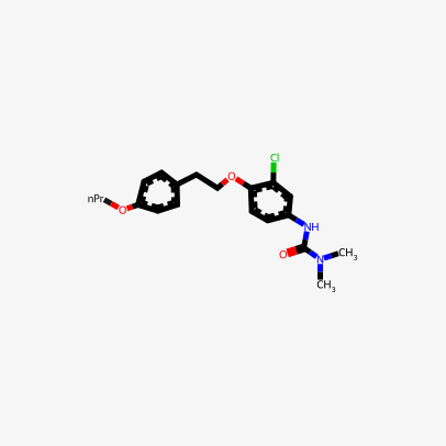 CCCOc1ccc(CCOc2ccc(NC(=O)N(C)C)cc2Cl)cc1